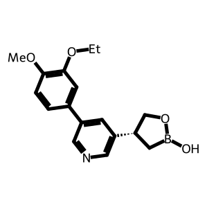 CCOc1cc(-c2cncc([C@@H]3COB(O)C3)c2)ccc1OC